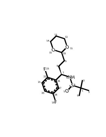 CC(C)(C)[S+]([O-])N[C@H](CCC1OCCCO1)c1cc(F)ccc1F